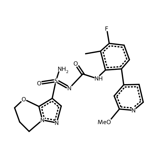 COc1cc(-c2ccc(F)c(C)c2NC(=O)N=S(N)(=O)c2cnn3c2OCCC3)ccn1